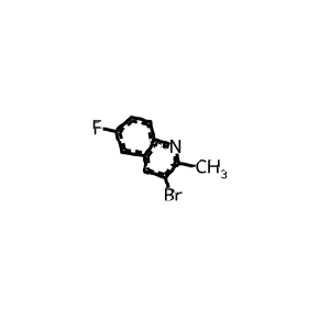 Cc1nc2ccc(F)cc2cc1Br